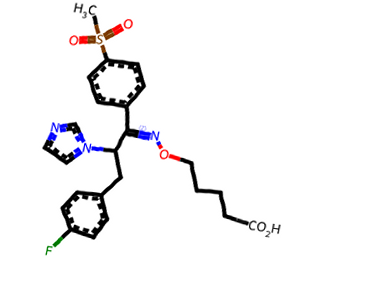 CS(=O)(=O)c1ccc(/C(=N/OCCCCC(=O)O)C(Cc2ccc(F)cc2)n2ccnc2)cc1